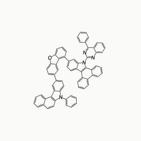 c1ccc(-c2nc(-n3c4cc(-c5cccc6oc7ccc(-c8ccc9c(c8)c8c%10ccccc%10ccc8n9-c8ccccc8)cc7c56)ccc4c4c5ccccc5c5ccccc5c43)nc3ccccc23)cc1